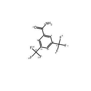 NC(=O)c1cc(C(F)(F)F)cc(C(F)(F)F)c1